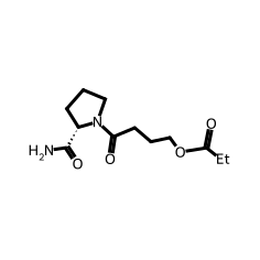 CCC(=O)OCCCC(=O)N1CCC[C@H]1C(N)=O